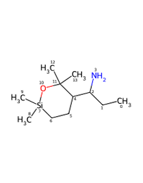 CCC(N)C1CC[Si](C)(C)OC1(C)C